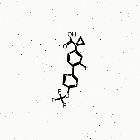 O=C(O)C1(c2ccc(-c3ccc(OC(F)(F)F)cc3)c(F)c2)CC1